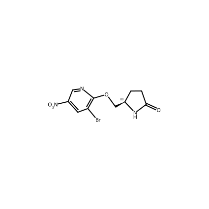 O=C1CC[C@H](COc2ncc([N+](=O)[O-])cc2Br)N1